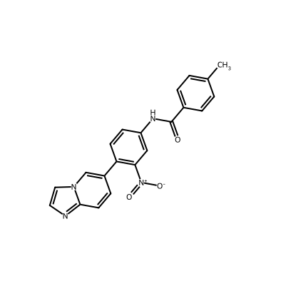 Cc1ccc(C(=O)Nc2ccc(-c3ccc4nccn4c3)c([N+](=O)[O-])c2)cc1